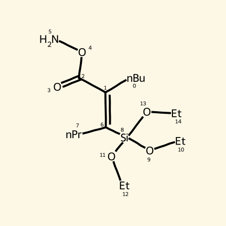 CCCCC(C(=O)ON)=C(CCC)[Si](OCC)(OCC)OCC